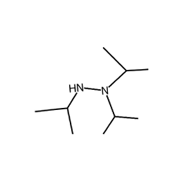 CC(C)NN(C(C)C)C(C)C